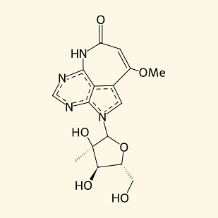 COC1=CC(=O)Nc2ncnc3c2c1cn3C1O[C@H](CO)[C@@H](O)[C@@]1(C)O